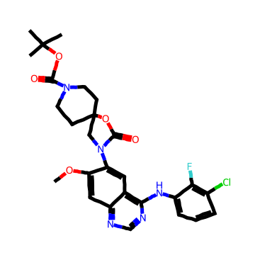 COc1cc2ncnc(Nc3cccc(Cl)c3F)c2cc1N1CC2(CCN(C(=O)OC(C)(C)C)CC2)OC1=O